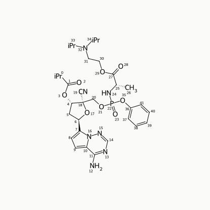 CC(C)C(=O)O[C@H]1C[C@H](c2ccc3c(N)ncnn23)O[C@]1(C#N)COP(=O)(N[C@@H](C)C(=O)OCCN(C(C)C)C(C)C)Oc1ccccc1